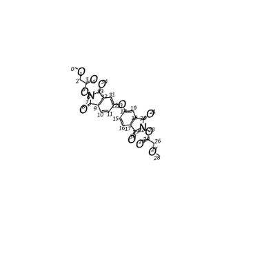 COCC(=O)ON1C(=O)c2ccc(Oc3ccc4c(c3)C(=O)N(OC(=O)COC)C4=O)cc2C1=O